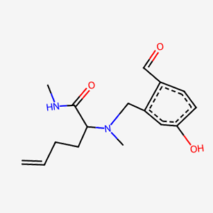 C=CCCC(C(=O)NC)N(C)Cc1cc(O)ccc1C=O